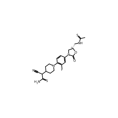 CC(=S)NC[C@H]1CN(c2ccc(N3CCC(C(C#N)C(N)=S)CC3)c(F)c2)C(=O)O1